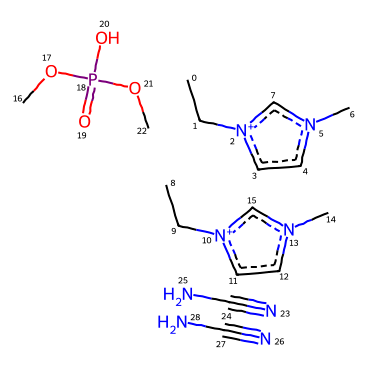 CC[n+]1ccn(C)c1.CC[n+]1ccn(C)c1.COP(=O)(O)OC.N#CN.N#CN